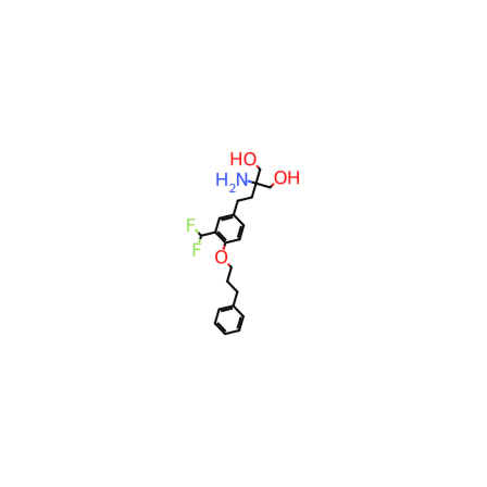 NC(CO)(CO)CCc1ccc(OCCCc2ccccc2)c(C(F)F)c1